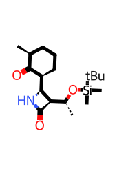 C[C@H]1CCC[C@@H]([C@H]2NC(=O)[C@@H]2[C@@H](C)O[Si](C)(C)C(C)(C)C)C1=O